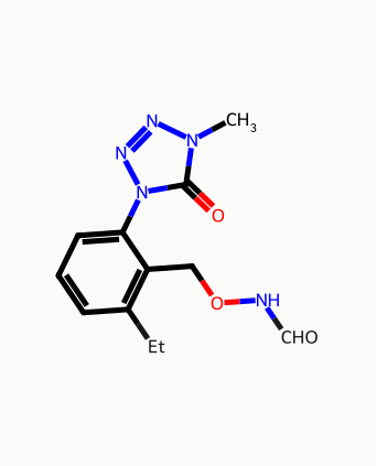 CCc1cccc(-n2nnn(C)c2=O)c1CONC=O